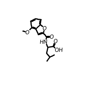 COc1cccc2oc(C(=O)NC(CC(C)C)C(=O)O)cc12